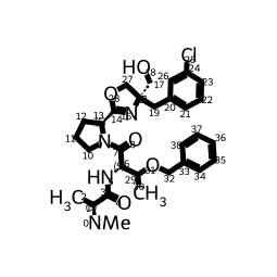 CN[C@@H](C)C(=O)N[C@H](C(=O)N1CCC[C@H]1C1=N[C@](CO)(Cc2cccc(Cl)c2)CO1)C(C)OCc1ccccc1